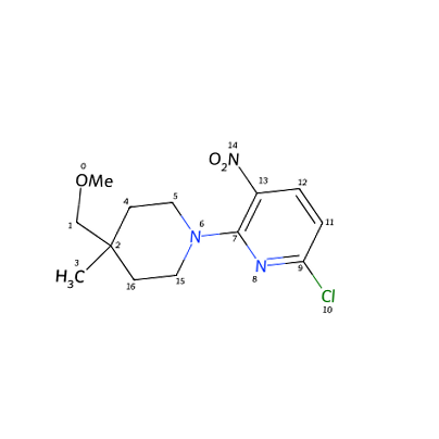 COCC1(C)CCN(c2nc(Cl)ccc2[N+](=O)[O-])CC1